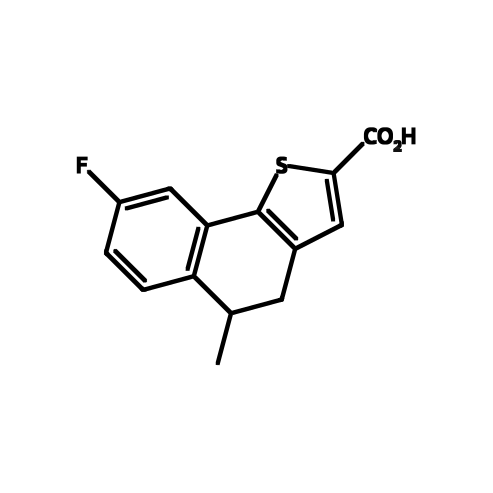 CC1Cc2cc(C(=O)O)sc2-c2cc(F)ccc21